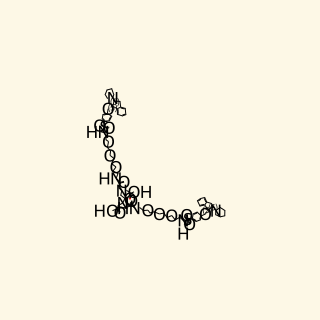 O=C(O)CN(CCN(CC(=O)O)CC(=O)NCCOCCOCCOCCNS(=O)(=O)c1ccc(O[C@H]2c3ccccc3C[C@@H]2N2CCCCC2)cc1)CC(=O)NCCOCCOCCOCCNS(=O)(=O)c1ccc(O[C@H]2c3ccccc3C[C@@H]2N2CCCCC2)cc1